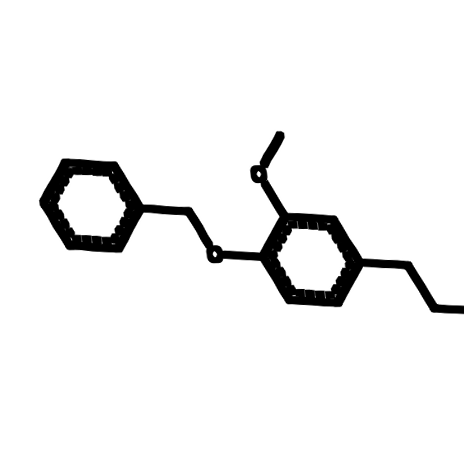 [CH2]CCc1ccc(OCc2ccccc2)c(OC)c1